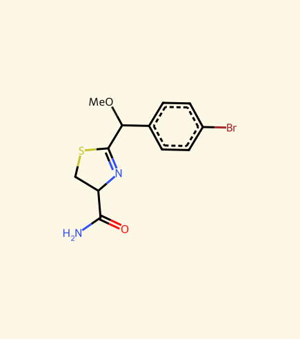 COC(C1=NC(C(N)=O)CS1)c1ccc(Br)cc1